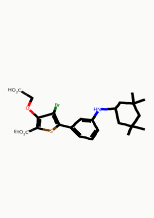 CCOC(=O)c1sc(-c2cccc(NC3CC(C)(C)CC(C)(C)C3)c2)c(Br)c1OCC(=O)O